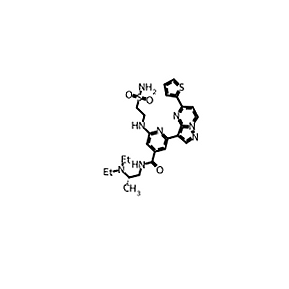 CCN(CC)[C@@H](C)CNC(=O)c1cc(NCCS(N)(=O)=O)nc(-c2cnn3ccc(-c4cccs4)nc23)c1